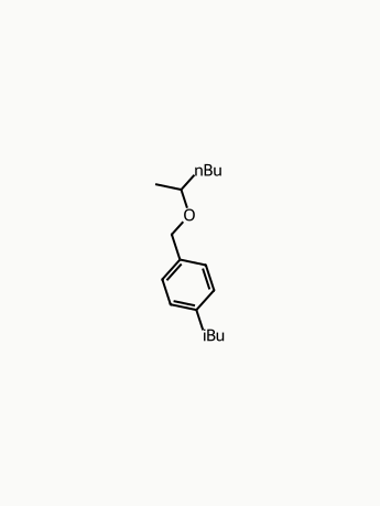 CCCCC(C)OCc1ccc(C(C)CC)cc1